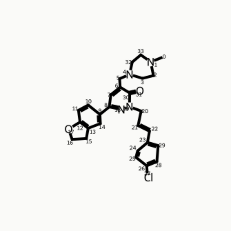 CN1CCN(Cc2cc(-c3ccc4c(c3)CCO4)nn(CC=Cc3ccc(Cl)cc3)c2=O)CC1